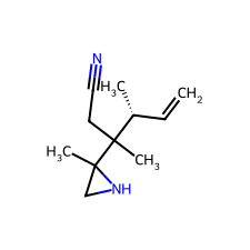 C=C[C@@H](C)C(C)(CC#N)C1(C)CN1